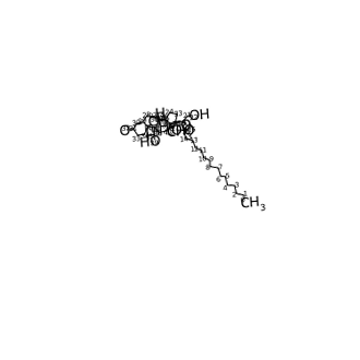 CCCCCCCCCCCCCCCC(=O)O[C@]1(C(=O)CO)CC[C@H]2[C@@H]3CCC4=CC(=O)CC[C@]4(C)[C@H]3[C@@H](O)C[C@@]21C